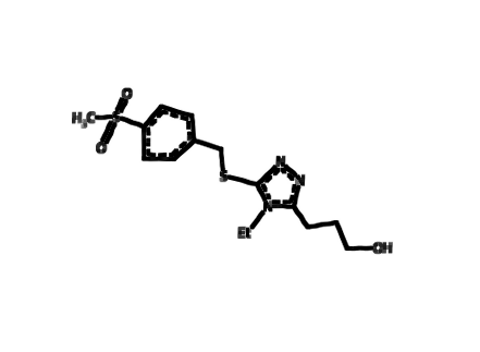 CCn1c(CCCO)nnc1SCc1ccc(S(C)(=O)=O)cc1